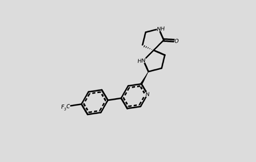 O=C1NCC[C@@]12CC[C@@H](c1cc(-c3ccc(C(F)(F)F)cc3)ccn1)N2